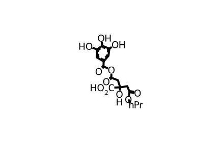 CCCOC(=O)CC(O)(CC(=O)OC(=O)c1cc(O)c(O)c(O)c1)C(=O)O